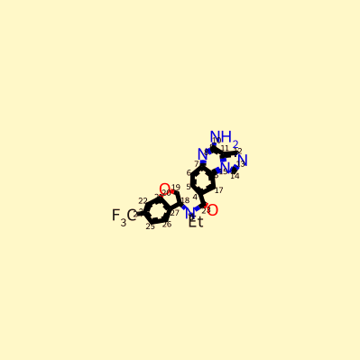 CCN(C(=O)c1ccc2nc(N)c3cncn3c2c1)C1COc2cc(C(F)(F)F)ccc21